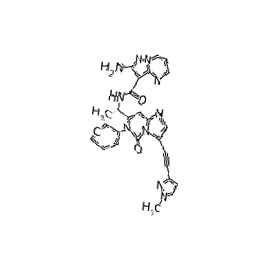 C[C@H](NC(=O)c1c(N)nn2cccnc12)c1cc2ncc(C#Cc3ccn(C)n3)n2c(=O)n1-c1ccccc1